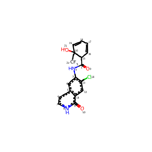 O=C(Nc1cc2cc[nH]c(=O)c2cc1Cl)C1C=CC=CC1(O)C(F)(F)F